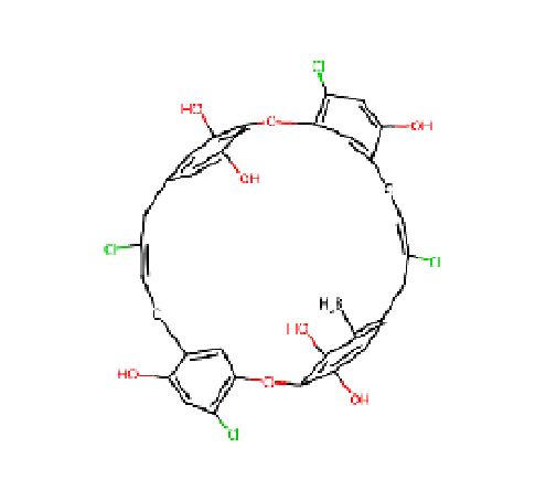 Bc1c2cc(O)c(c1O)Oc1cc(c(O)cc1Cl)C/C=C(/Cl)Cc1cc(O)c(c(O)c1)Oc1cc(c(O)cc1Cl)C/C=C(/Cl)C2